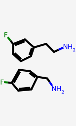 NCCc1cccc(F)c1.NCc1ccc(F)cc1